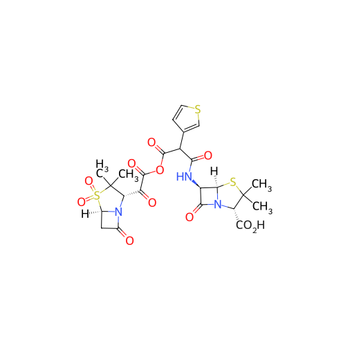 CC1(C)S[C@@H]2[C@H](NC(=O)C(C(=O)OC(=O)C(=O)[C@@H]3N4C(=O)C[C@H]4S(=O)(=O)C3(C)C)c3ccsc3)C(=O)N2[C@H]1C(=O)O